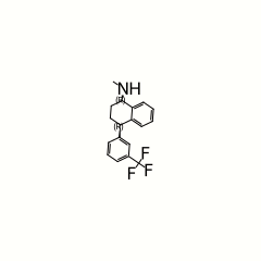 CN[C@@H]1CC[C@H](c2cccc(C(F)(F)F)c2)c2ccccc21